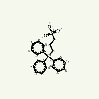 O=S(=O)([O-])CCC[P+](c1ccccc1)(c1ccccc1)c1ccccc1